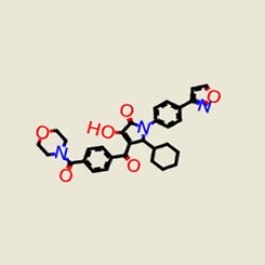 O=C(C1=C(O)C(=O)N(c2ccc(-c3ccon3)cc2)C1C1CCCCC1)c1ccc(C(=O)N2CCOCC2)cc1